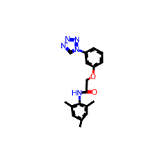 Cc1cc(C)c(NC(=O)COc2cccc(-n3cnnn3)c2)c(C)c1